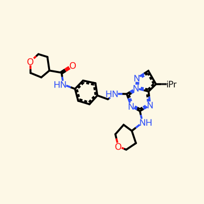 CC(C)c1cnn2c(NCc3ccc(NC(=O)C4CCOCC4)cc3)nc(NC3CCOCC3)nc12